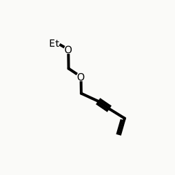 C=CC#CCOCOCC